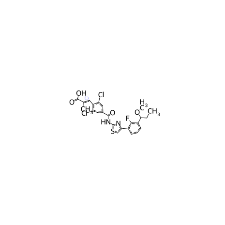 CCC(OC)c1cccc(-c2csc(NC(=O)c3cc(Cl)c(/C=C(\C)C(=O)O)c(Cl)c3)n2)c1F